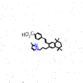 Cc1ccn(CCCc2cc3c(cc2C=Cc2ccc(C(=O)O)cc2)C(C)(C)CCC3(C)C)n1